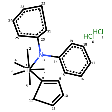 Cl.Cl.[CH3][Ti]([CH3])([CH3])([CH3])([CH3])([C]1=CC=CC1)[N](c1ccccc1)c1ccccc1